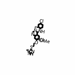 COc1cc2c(Nc3ccc(Cl)cc3F)ncnc2cc1OCCSc1nnnn1C.Cl